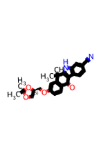 CC1(C)OC[C@H](COc2ccc3c(c2)C(C)(C)c2[nH]c4cc(C#N)ccc4c2C3=O)O1